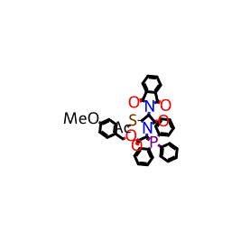 COc1ccc(COC(=O)C(N2C(=O)C(N3C(=O)c4ccccc4C3=O)[C@H]2SC(C)=O)=P(c2ccccc2)(c2ccccc2)c2ccccc2)cc1